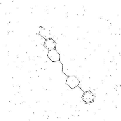 CNc1ccc2c(c1)CCC(CCN1CCC(c3ccccc3)CC1)C2